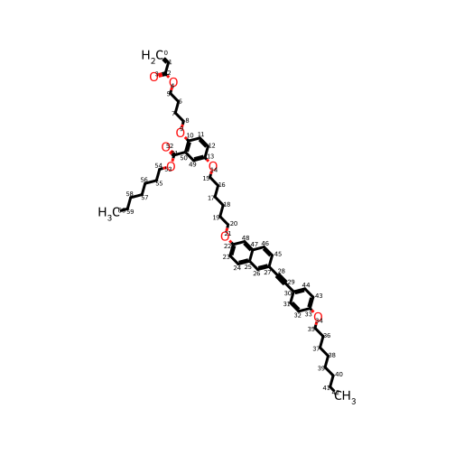 C=CC(=O)OCCCCOc1ccc(OCCCCCCOc2ccc3cc(C#Cc4ccc(OCCCCCCCC)cc4)ccc3c2)cc1C(=O)OCCCCCCC